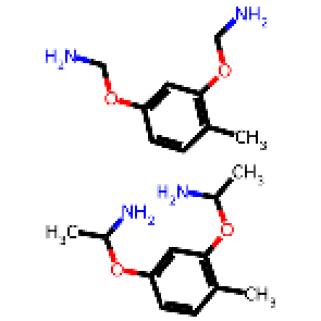 Cc1ccc(OC(C)N)cc1OC(C)N.Cc1ccc(OCN)cc1OCN